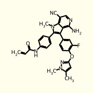 C=CC(=O)Nc1ccc(-c2c(-c3ccc(Oc4cc(C)n(C)n4)c(F)c3)c3c(N)ncc(C#N)c3n2C)cc1